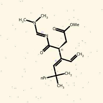 C=C/C(=C\C(C)(C)CCC)[C@H](CC(=O)OC)C(=O)/N=C/N(C)C